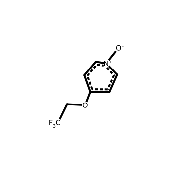 [O-][n+]1ccc(OCC(F)(F)F)cc1